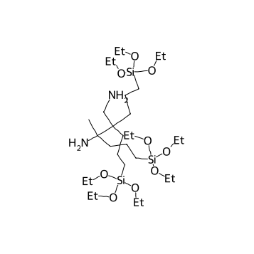 CCO[Si](CCCC(C)(N)C(CN)(CCC[Si](OCC)(OCC)OCC)CCC[Si](OCC)(OCC)OCC)(OCC)OCC